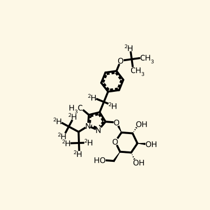 [2H]C(C)(C)Oc1ccc(C([2H])([2H])c2c(O[C@@H]3O[C@H](CO)[C@@H](O)[C@H](O)[C@H]3O)nn(C(C([2H])([2H])[2H])C([2H])([2H])[2H])c2C)cc1